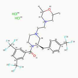 CC1CN(CCN2CCN(C(=O)c3cc(C(F)(F)F)cc(C(F)(F)F)c3)[C@H](Cc3ccc(C(F)(F)F)cc3)C2)CC(C)O1.Cl.Cl